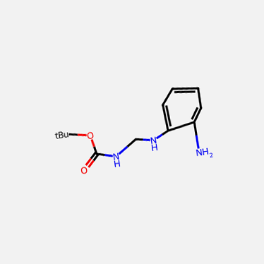 CC(C)(C)OC(=O)NCNc1ccccc1N